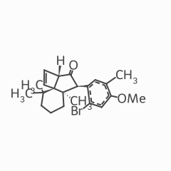 COc1cc(Br)c([C@@H]2C(=O)[C@H]3C=C[C@]34C(C)(C)CCC[C@]24C)cc1C